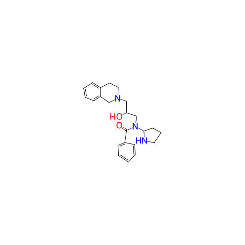 O=C(c1ccccc1)N(CC(O)CN1CCc2ccccc2C1)C1CCCN1